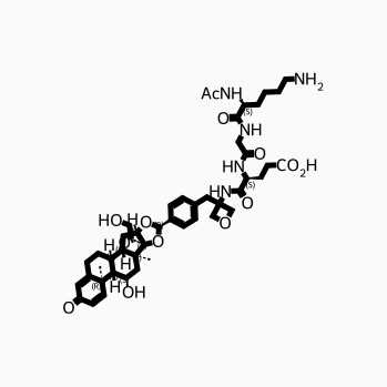 CC(=O)N[C@@H](CCCCN)C(=O)NCC(=O)N[C@@H](CCC(=O)O)C(=O)NC1(Cc2ccc([C@@H]3O[C@@H]4C[C@H]5[C@@H]6CCC7=CC(=O)C=C[C@]7(C)[C@H]6[C@@H](O)C[C@]5(C)[C@]4(C(=O)CO)O3)cc2)COC1